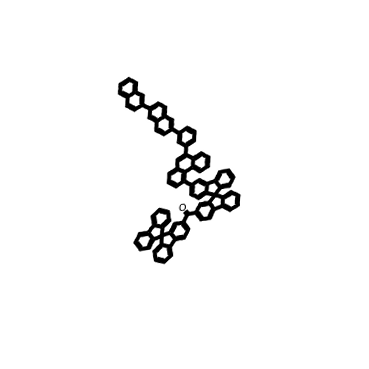 O=C(c1ccc2c(c1)C1(c3ccccc3-c3ccccc31)c1ccccc1-2)c1ccc2c(c1)C1(c3ccccc3-c3cc(-c4cccc5cc(-c6cccc(-c7ccc8cc(-c9ccc%10ccccc%10c9)ccc8c7)c6)c6ccccc6c45)ccc31)c1ccccc1-2